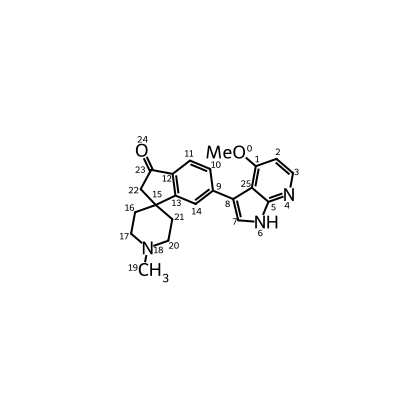 COc1ccnc2[nH]cc(-c3ccc4c(c3)C3(CCN(C)CC3)CC4=O)c12